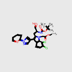 CCOC(=O)Cn1c(CC(CO)NC(=O)OC(C)(C)C)c(-c2cnn(C3CCCCO3)c2)c2ccc(Cl)c(Cl)c21